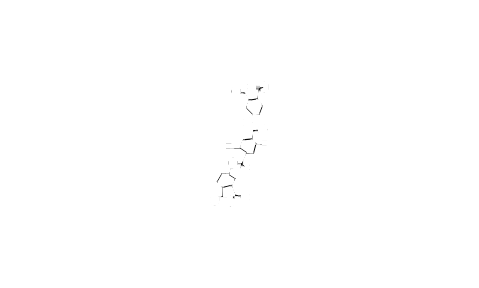 O=C(Oc1ccc2c(c1)C(=O)OC2=O)c1cc(F)c(C(=O)Oc2ccc3c(c2)C(=O)OC3=O)cc1F